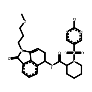 COCCCN1C(=O)c2cccc3c2C1=CCC3NC(=O)C1CCCCN1S(=O)(=O)c1cnc(Cl)nc1